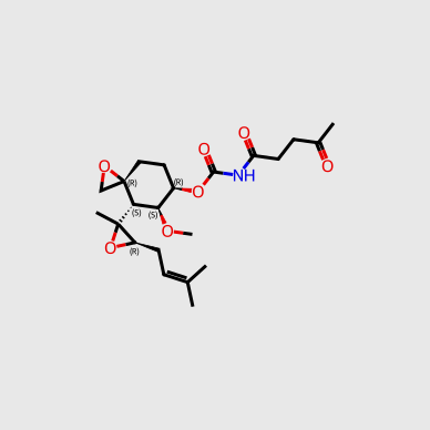 CO[C@H]1[C@H](C2(C)O[C@@H]2CC=C(C)C)[C@]2(CC[C@H]1OC(=O)NC(=O)CCC(C)=O)CO2